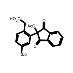 CC(=O)OC1(c2cc(C(C)(C)C)ccc2CC(=O)O)C(=O)c2ccccc2C1=O